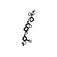 CCOC(=O)[C@@H]1CCCN(CC2=Cc3ccc(OCc4ccc(OC(C)C)c(C#N)c4)cc3OC2)C1